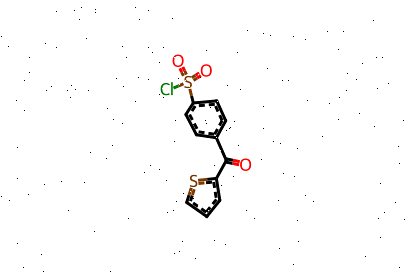 O=C(c1ccc(S(=O)(=O)Cl)cc1)c1cccs1